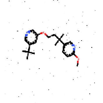 COc1ccc(C(C)(C)CCOc2cncc(C(C)(C)C)c2)cn1